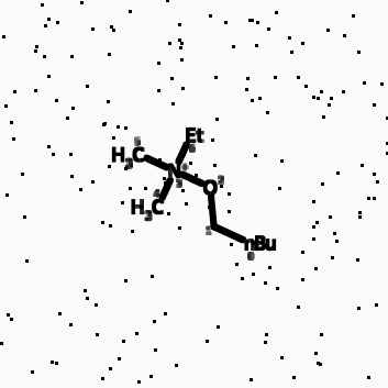 CCCCCO[N+](C)(C)CC